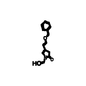 O=C1CC(CCOCc2ccccc2)CN1CO